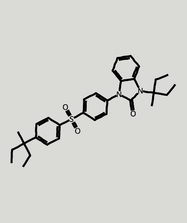 CCC(C)(CC)c1ccc(S(=O)(=O)c2ccc(-n3c(=O)n(C(C)(CC)CC)c4ccccc43)cc2)cc1